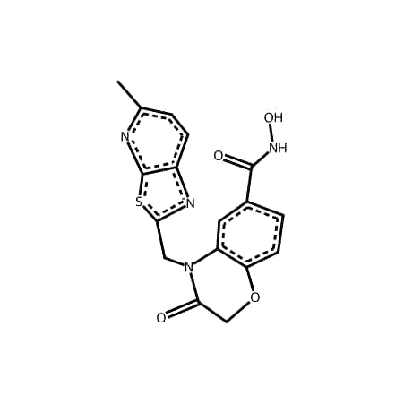 Cc1ccc2nc(CN3C(=O)COc4ccc(C(=O)NO)cc43)sc2n1